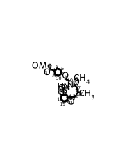 C.COC(=O)c1ccc(OCCN2NS(=O)(=O)c3cccc4oc(cc34)C(C)=CC2=O)cc1